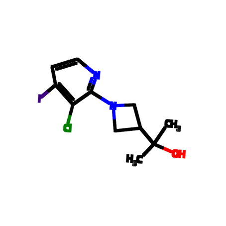 CC(C)(O)C1CN(c2nccc(I)c2Cl)C1